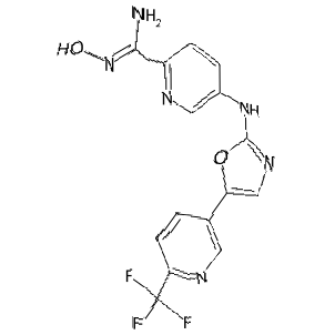 N/C(=N\O)c1ccc(Nc2ncc(-c3ccc(C(F)(F)F)nc3)o2)cn1